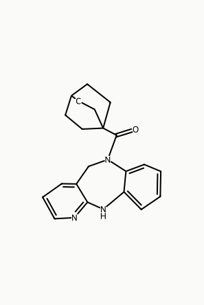 O=C(N1Cc2cccnc2Nc2ccccc21)C12CCC(CC1)CC2